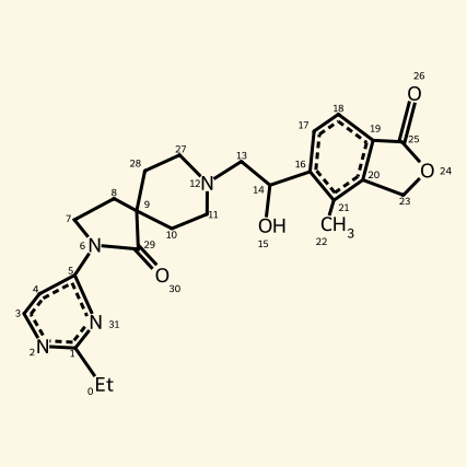 CCc1nccc(N2CCC3(CCN(CC(O)c4ccc5c(c4C)COC5=O)CC3)C2=O)n1